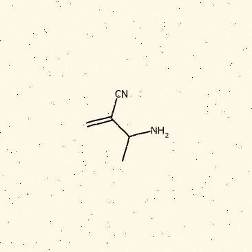 [CH]=C(C#N)C(C)N